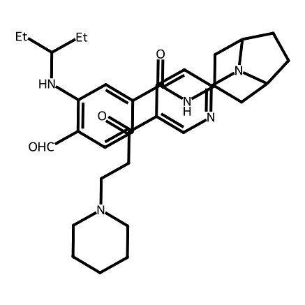 CCC(CC)Nc1cc(C(=O)NC2CC3CCC(C2)N3c2ccc(C(=O)CCN3CCCCC3)cn2)ccc1C=O